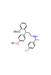 COc1ccccc1C(CCNC(C)c1ccc(Cl)cc1)c1ccc(OC(C)C)cc1